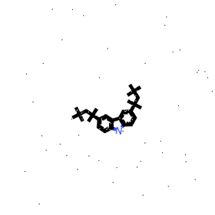 CC(C)(C)CC(C)(C)c1ccc2c(c1)-c1cc(C(C)(C)CC(C)(C)C)ccc1[N]2